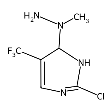 CN(N)C1NC(Cl)=NC=C1C(F)(F)F